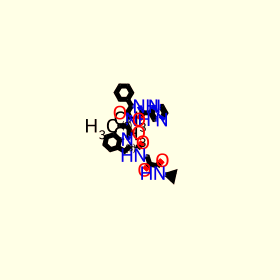 CC(C)(C)[C@H](NC(=O)C(NC(=O)c1cnccn1)C1CCCCC1)C(=O)N1C2CCCCC2C[C@H]1C(=O)NCC(=O)C(=O)NC1CC1